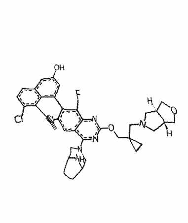 C#Cc1c(Cl)ccc2cc(O)cc(-c3c(Cl)cc4c(N5CC6CCC(C5)N6)nc(OCC5(CN6C[C@H]7COC[C@@H]7C6)CC5)nc4c3F)c12